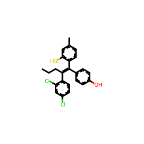 CCC/C(=C(/c1ccc(O)cc1)c1ccc(C)cc1S)c1ccc(Cl)cc1Cl